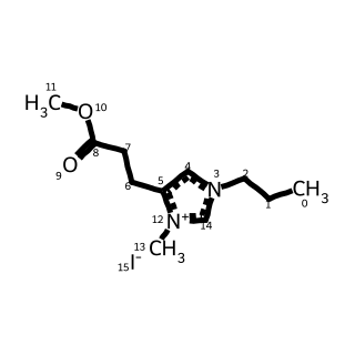 CCCn1cc(CCC(=O)OC)[n+](C)c1.[I-]